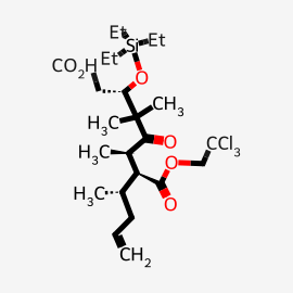 C=CC[C@H](C)[C@H](C(=O)OCC(Cl)(Cl)Cl)[C@@H](C)C(=O)C(C)(C)[C@H](CC(=O)O)O[Si](CC)(CC)CC